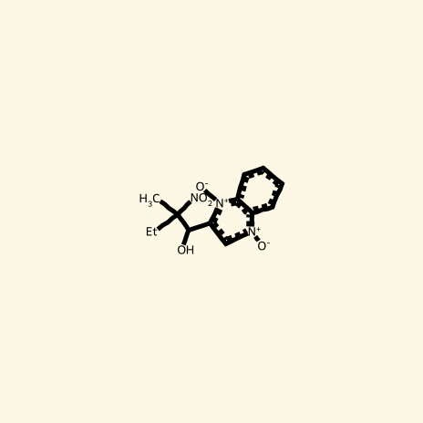 CCC(C)(C(O)c1c[n+]([O-])c2ccccc2[n+]1[O-])[N+](=O)[O-]